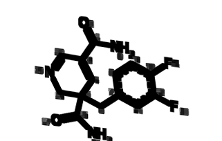 NC(=O)C1=CC(Cc2ccc(F)c(F)c2)(C(N)=O)CN=C1